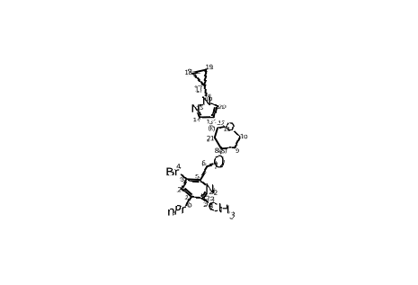 CCCc1cc(Br)c(CO[C@H]2CCO[C@@H](c3cnn(C4CC4)c3)C2)nc1C